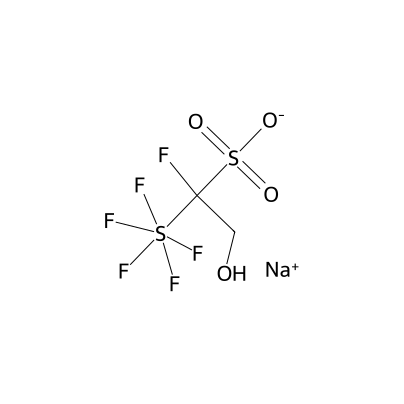 O=S(=O)([O-])C(F)(CO)S(F)(F)(F)(F)F.[Na+]